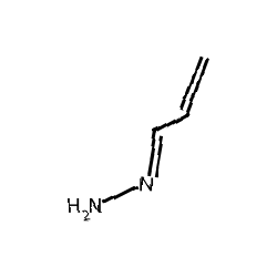 C=CC=NN